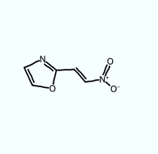 O=[N+]([O-])C=Cc1ncco1